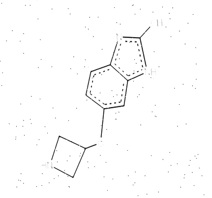 Cc1nc2ccc(OC3CNC3)cc2[nH]1